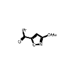 COc1cc(C(=O)C(C)C)on1